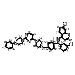 Clc1cccc(C(Nc2ccnc3cc(Cl)ccc23)c2ccc(CN3CCN(c4ccnc(N5CCN(c6ccccc6)CC5)n4)CC3)cc2)c1